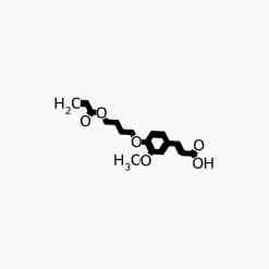 C=CC(=O)OCCCCOc1ccc(/C=C/C(=O)O)cc1OC